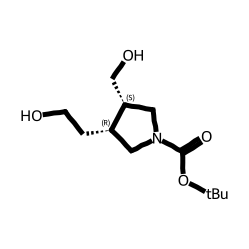 CC(C)(C)OC(=O)N1C[C@@H](CO)[C@@H](CCO)C1